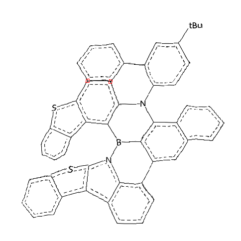 CC(C)(C)c1ccc(N2c3ccc4sc5ccccc5c4c3B3c4c(cc5ccccc5c42)-c2cccc4c5c6ccccc6sc5n3c24)c(-c2ccccc2)c1